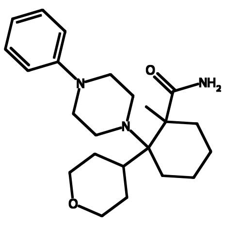 CC1(C(N)=O)CCCCC1(C1CCOCC1)N1CCN(c2ccccc2)CC1